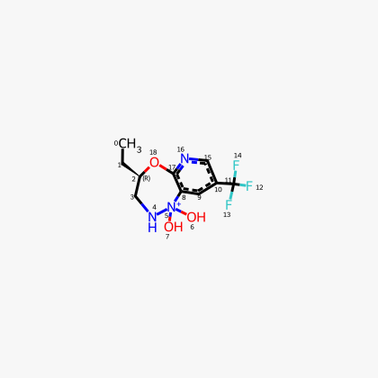 CC[C@@H]1CN[N+](O)(O)c2cc(C(F)(F)F)cnc2O1